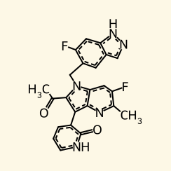 CC(=O)c1c(-c2ccc[nH]c2=O)c2nc(C)c(F)cc2n1Cc1cc2cn[nH]c2cc1F